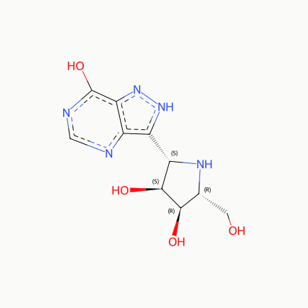 OC[C@H]1N[C@@H](c2[nH]nc3c(O)ncnc23)[C@H](O)[C@@H]1O